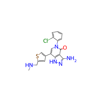 CNCc1cc(-c2cn(-c3ccccc3Cl)c(=O)c3c(N)n[nH]c23)cs1